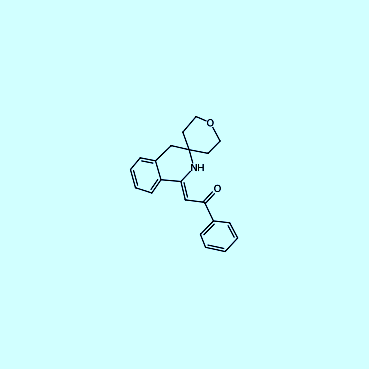 O=C(/C=C1\NC2(CCOCC2)Cc2ccccc21)c1ccccc1